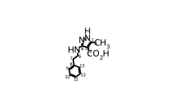 Cc1[nH]nc(NCCc2ccccc2)c1C(=O)O